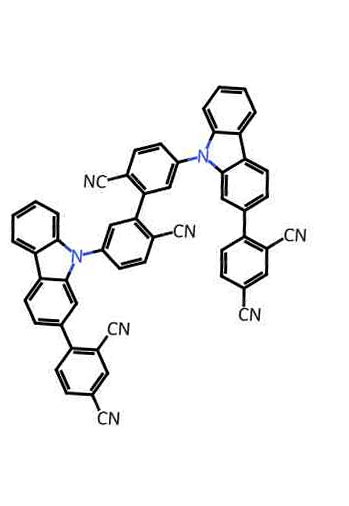 N#Cc1ccc(-c2ccc3c4ccccc4n(-c4ccc(C#N)c(-c5cc(-n6c7ccccc7c7ccc(-c8ccc(C#N)cc8C#N)cc76)ccc5C#N)c4)c3c2)c(C#N)c1